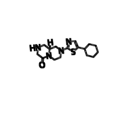 O=C1CNC[C@@H]2CN(c3ncc(C4CCCCC4)s3)CCN12